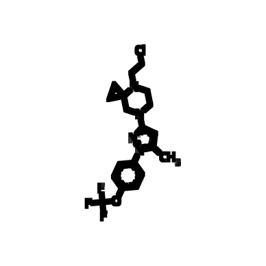 Cc1cc(N2CCN(CCCl)C3(CC3)C2)nn1-c1ccc(OC(F)(F)F)cc1